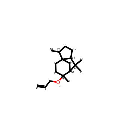 C=CCOC1(C)CCC23CC1C(C)(C)C2CCC3C